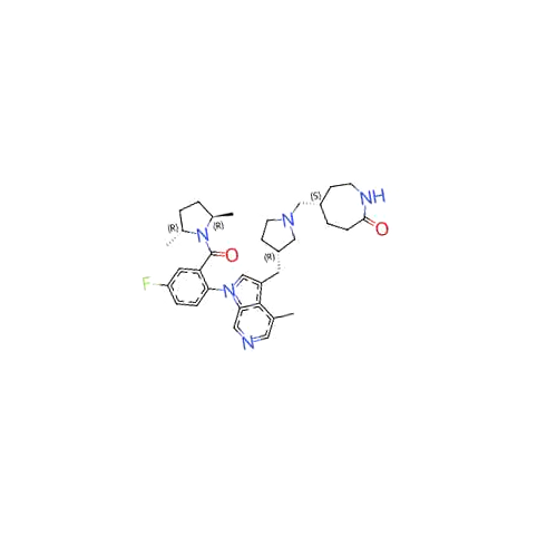 Cc1cncc2c1c(C[C@@H]1CCN(C[C@@H]3CCNC(=O)CC3)C1)cn2-c1ccc(F)cc1C(=O)N1[C@H](C)CC[C@H]1C